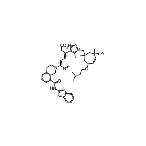 C=N/C(=C\C=C(/CC(=O)O)c1cnn(CC2(C)CC(OCCN(C)C)C=CC(C)(CCC)C2)c1C)N1CCc2cccc(C(=O)Nc3nc4ccccc4s3)c2C1